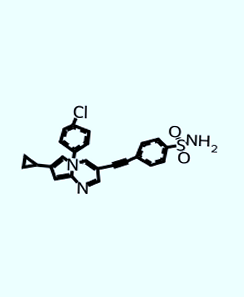 NS(=O)(=O)c1ccc(C#CC2=C[N+]3(c4ccc(Cl)cc4)C=C(C4CC4)C=C3N=C2)cc1